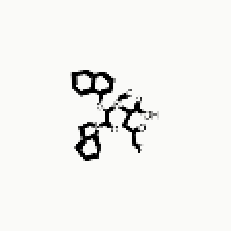 O=CN(C(CC(=O)CF)C(=O)O)[C@@H](Oc1cccc2ccccc12)C(=O)N1CCc2ccccc21